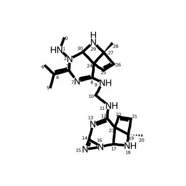 CNN1C(=C(C)C)N=C(NCNC2=NC3=NN3C3N[C@]4(C)C=CC234)C23C=C[C@@]2(C)NC13